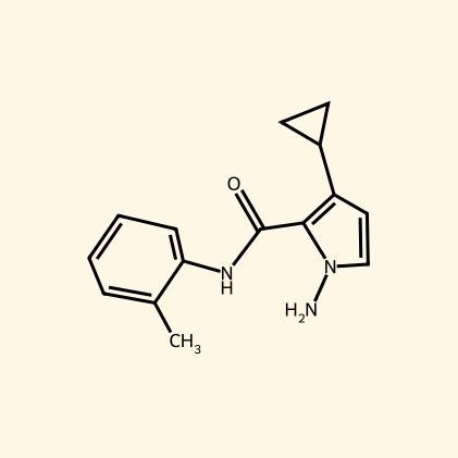 Cc1ccccc1NC(=O)c1c(C2CC2)ccn1N